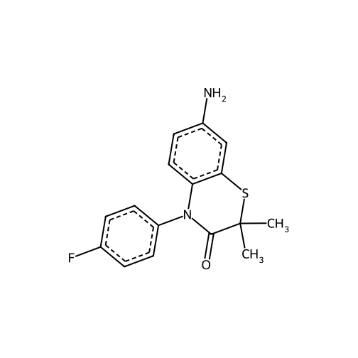 CC1(C)Sc2cc(N)ccc2N(c2ccc(F)cc2)C1=O